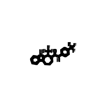 O=C(Nc1ccc(C(F)(F)F)cc1)N1CCCc2c([nH]c3ccccc23)C1C(F)(F)F